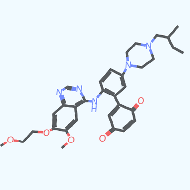 CCC(C)CN1CCN(c2ccc(Nc3ncnc4cc(OCCOC)c(OC)cc34)c(C3=CC(=O)C=CC3=O)c2)CC1